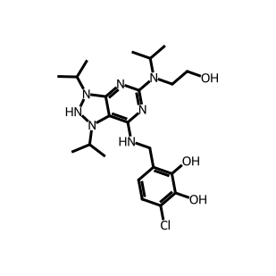 CC(C)N(CCO)c1nc(NCc2ccc(Cl)c(O)c2O)c2c(n1)N(C(C)C)NN2C(C)C